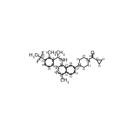 Cc1c([C@@H](C)Nc2nnc(C)c3ccc(N4CCN(C(=O)C5CC5)CC4)cc23)cccc1C(C)(F)F